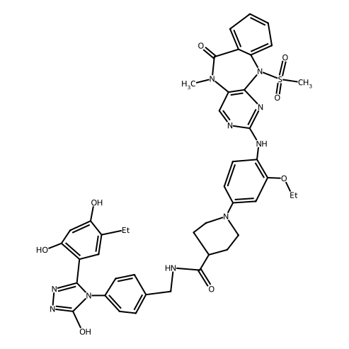 CCOc1cc(N2CCC(C(=O)NCc3ccc(-n4c(O)nnc4-c4cc(CC)c(O)cc4O)cc3)CC2)ccc1Nc1ncc2c(n1)N(S(C)(=O)=O)c1ccccc1C(=O)N2C